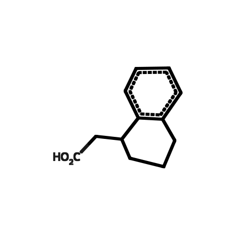 O=C(O)CC1CCCc2ccccc21